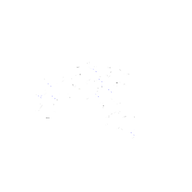 Cn1c2cc3c(cc2n2c4ccccc4nc12)[SH](Cn1c2cc4sc5cnccc5c4cc2n2c4ccccc4nc12)c1cnccc1-3